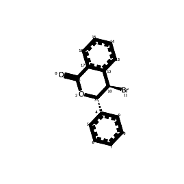 O=C1O[C@@H](c2ccccc2)[C@H](Br)c2ccccc21